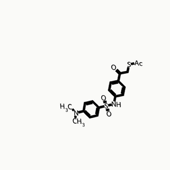 CC(=O)SCC(=O)c1ccc(NS(=O)(=O)c2ccc(N(C)C)cc2)cc1